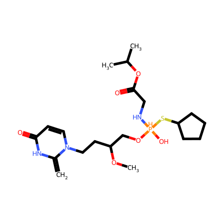 C=C1NC(=O)C=CN1CCC(CO[PH](O)(NCC(=O)OC(C)C)SC1CCCC1)OC